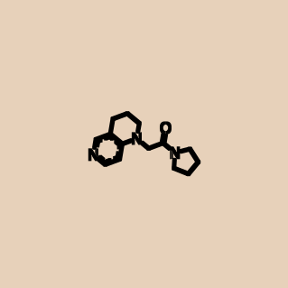 O=C(CN1CCCc2cnccc21)N1CCCC1